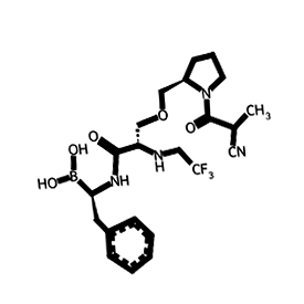 CC(C#N)C(=O)N1CCC[C@@H]1COC[C@H](NCC(F)(F)F)C(=O)N[C@@H](Cc1ccccc1)B(O)O